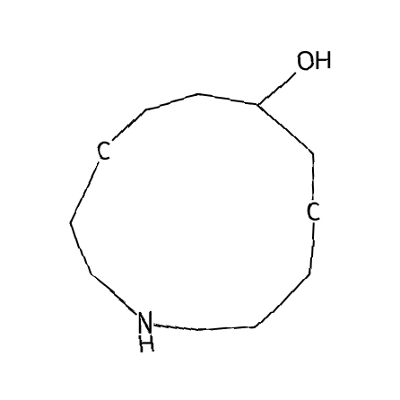 OC1CCCCCNCCCCC1